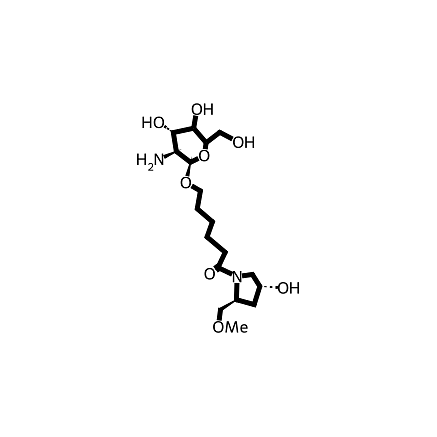 COC[C@@H]1C[C@@H](O)CN1C(=O)CCCCCO[C@@H]1OC(CO)C(O)[C@@H](O)[C@@H]1N